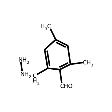 Cc1cc(C)c([C]=O)c(C)c1.NN